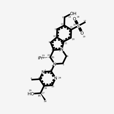 Cc1nc(N2CCn3c(cc4cc(CO)c(S(C)(=O)=O)cc43)[C@H]2C(C)C)ncc1[C@@H](C)O